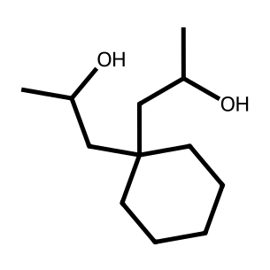 CC(O)CC1(CC(C)O)CCCCC1